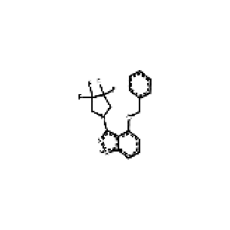 FC1(F)CN(c2n[nH]c3cccc(OCc4ccccc4)c23)CC1(F)F